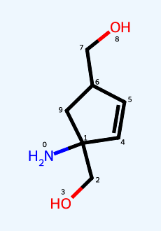 NC1(CO)C=CC(CO)C1